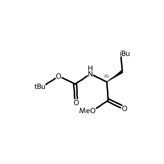 CCC(C)C[C@H](NC(=O)OC(C)(C)C)C(=O)OC